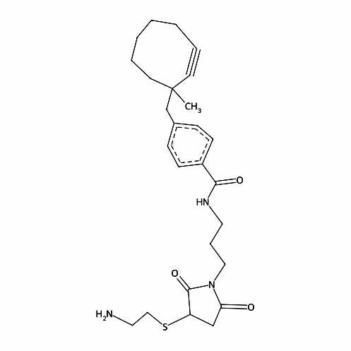 CC1(Cc2ccc(C(=O)NCCCN3C(=O)CC(SCCN)C3=O)cc2)C#CCCCCC1